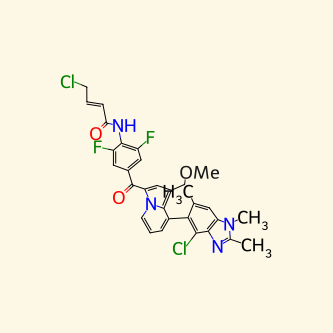 COCc1cc(C(=O)c2cc(F)c(NC(=O)/C=C/CCl)c(F)c2)n2cccc(-c3c(C)cc4c(nc(C)n4C)c3Cl)c12